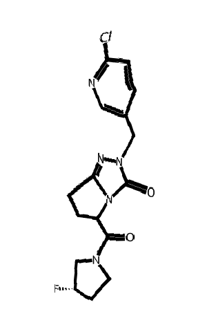 O=C(C1CCc2nn(Cc3ccc(Cl)nc3)c(=O)n21)N1CC[C@H](F)C1